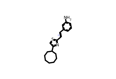 Nc1cccc(/C=C/c2nc(C3CCCCCCC3)cs2)c1